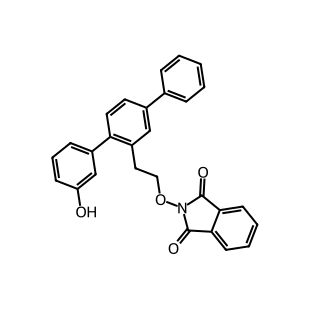 O=C1c2ccccc2C(=O)N1OCCc1cc(-c2ccccc2)ccc1-c1cccc(O)c1